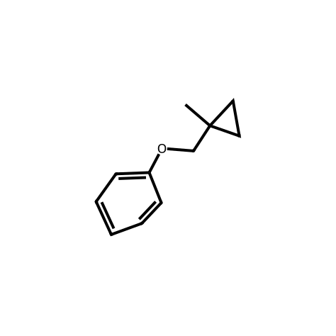 CC1(COc2ccccc2)CC1